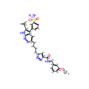 NS(=O)(=O)c1cccc(-c2c(C3CC3)[nH]c3nnc(CCCCn4cc(C(=O)NCc5cccc(OC(F)(F)F)c5)nn4)cc23)c1